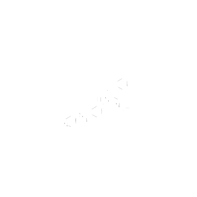 CN(CC(N)c1ccc(C(=O)Nc2ccncc2)cc1)C(=O)Cc1ccc(F)cc1Cl